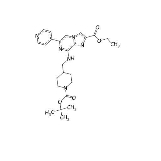 CCOC(=O)c1cn2cc(-c3ccncc3)nc(NCC3CCN(C(=O)OC(C)(C)C)CC3)c2n1